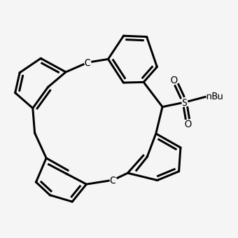 CCCCS(=O)(=O)C1c2cccc(c2)Cc2cccc(c2)Cc2cccc(c2)Cc2cccc1c2